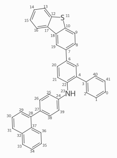 c1ccc(-c2cc(-c3ccc4sc5ccccc5c4c3)ccc2Nc2ccc(-c3cccc4ccccc34)cc2)cc1